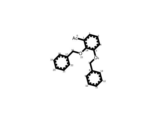 CC(=O)c1cccc(OCc2ccccc2)c1OCc1ccccc1